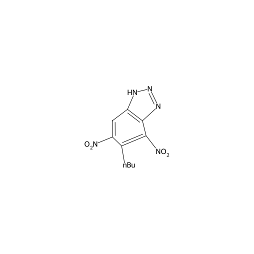 CCCCc1c([N+](=O)[O-])cc2[nH]nnc2c1[N+](=O)[O-]